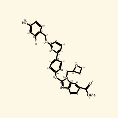 COC(=O)c1ccc2nc(Oc3ccc(-c4cccc(OCc5ccc(C#N)cc5F)n4)cc3)n(CC3CCO3)c2c1